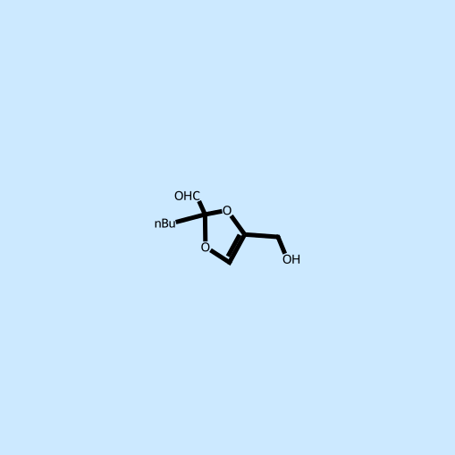 CCCCC1(C=O)OC=C(CO)O1